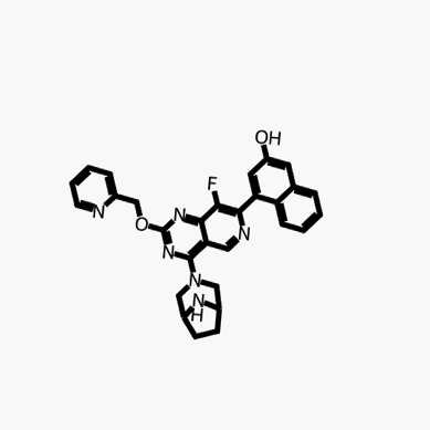 Oc1cc(-c2ncc3c(N4CC5CCC(C4)N5)nc(OCc4ccccn4)nc3c2F)c2ccccc2c1